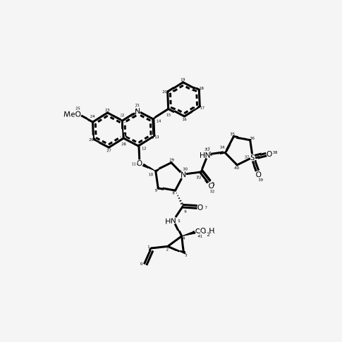 C=CC1C[C@]1(NC(=O)[C@@H]1C[C@@H](Oc2cc(-c3ccccc3)nc3cc(OC)ccc23)CN1C(=O)NC1CCS(=O)(=O)C1)C(=O)O